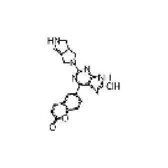 Cl.O=c1ccc2cc(-c3nc(N4CC5=CNCC5C4)nc4[nH]cnc34)ccc2o1